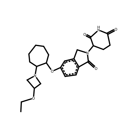 CCOC1CN(C2CCCCCC2Oc2ccc3c(c2)CN(C2CCC(=O)NC2=O)C3=O)C1